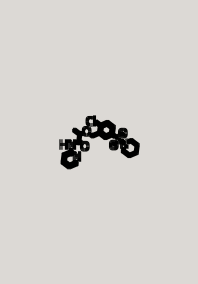 CC(OCc1cc(S(=O)(=O)N2CCCCC2)ccc1Cl)C(=O)Nc1ccccn1